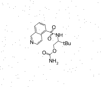 CC(C)(C)C(COC(N)=O)NS(=O)(=O)c1cccc2cnccc12